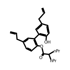 C=CCc1ccc(O)c(-c2cc(CC=C)ccc2OC(=O)C(CCC)CCC)c1